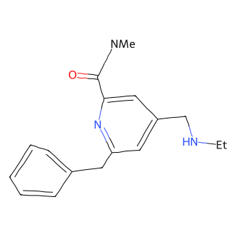 CCNCc1cc(Cc2ccccc2)nc(C(=O)NC)c1